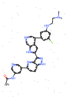 CCCC(=O)Nc1cncc(-c2ccc3[nH]nc(-c4cc5c(-c6cc(F)cc(NCCN(C)C)c6)cncc5[nH]4)c3n2)c1